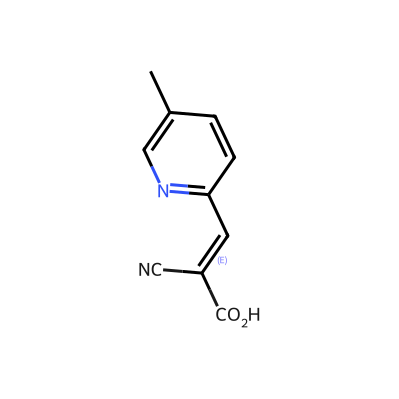 Cc1ccc(/C=C(\C#N)C(=O)O)nc1